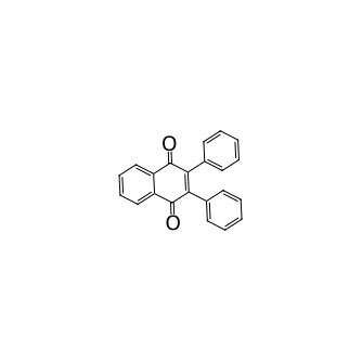 O=C1C(c2ccccc2)=C(c2ccccc2)C(=O)c2ccccc21